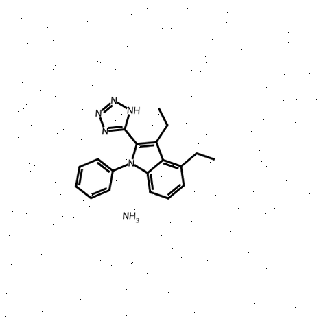 CCc1cccc2c1c(CC)c(-c1nnn[nH]1)n2-c1ccccc1.N